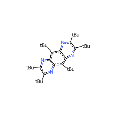 CC(C)(C)c1nc2c(C(C)(C)C)c3nc(C(C)(C)C)c(C(C)(C)C)nc3c(C(C)(C)C)c2nc1C(C)(C)C